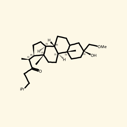 COC[C@]1(O)CC[C@@]2(C)C(CC[C@H]3[C@@H]4CC[C@H]([C@H](C)C(=O)CCC(C)C)[C@@]4(C)CC[C@@H]32)C1